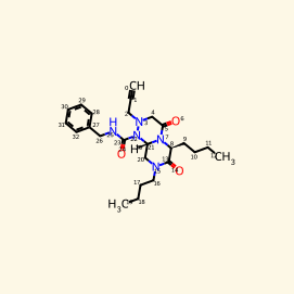 C#CCN1CC(=O)N2[C@@H](CCCC)C(=O)N(CCCC)C[C@@H]2N1C(=O)NCc1ccccc1